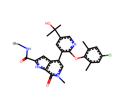 Cc1cc(Cl)cc(C)c1Oc1ncc(C(C)(C)O)cc1-c1cn(C)c(=O)c2[nH]c(C(=O)NC(C)(C)C)cc12